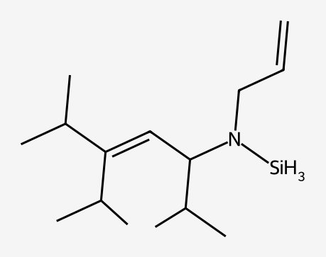 C=CCN([SiH3])C(C=C(C(C)C)C(C)C)C(C)C